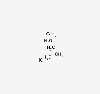 Cl.O.O.O.O.[CaH2]